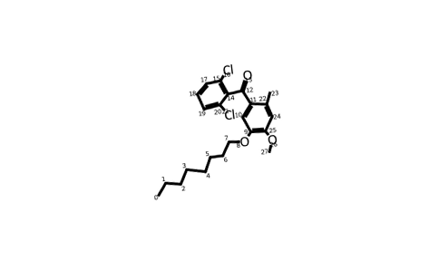 CCCCCCCCOc1cc(C(=O)c2c(Cl)cccc2Cl)c(C)cc1OC